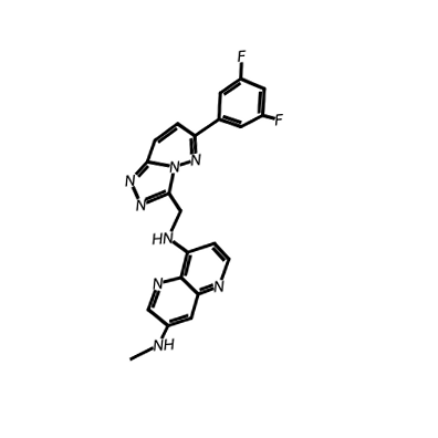 CNc1cnc2c(NCc3nnc4ccc(-c5cc(F)cc(F)c5)nn34)ccnc2c1